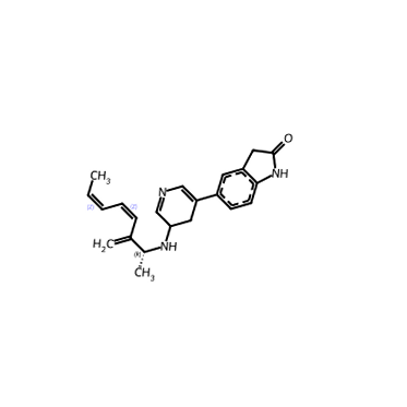 C=C(/C=C\C=C/C)[C@@H](C)NC1C=NC=C(c2ccc3c(c2)CC(=O)N3)C1